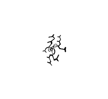 CC(C)CC(C)CC(CC(C)C)OB(OC(CC(C)C)CC(C)CC(C)C)OC(CC(C)C)CC(C)CC(C)C